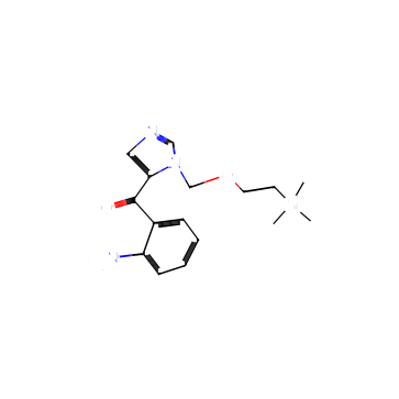 C[Si](C)(C)CCOCn1cncc1C(=O)c1ccccc1N